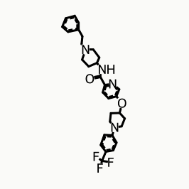 O=C(NC1CCN(CCc2ccccc2)CC1)c1ccc(OC2CCN(c3ccc(C(F)(F)F)cc3)CC2)cn1